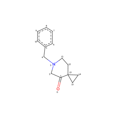 O=C1CN(Cc2ccccc2)CCC12CC2